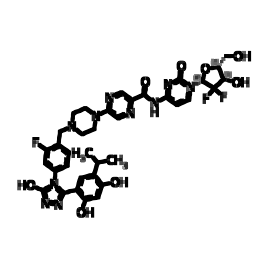 CC(C)c1cc(-c2nnc(O)n2-c2ccc(CN3CCN(c4cnc(C(=O)Nc5ccn([C@@H]6O[C@H](CO)[C@@H](O)C6(F)F)c(=O)n5)cn4)CC3)c(F)c2)c(O)cc1O